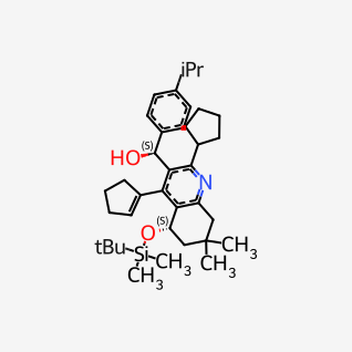 CC(C)c1ccc([C@H](O)c2c(C3CCCC3)nc3c(c2C2=CCCC2)[C@@H](O[Si](C)(C)C(C)(C)C)CC(C)(C)C3)cc1